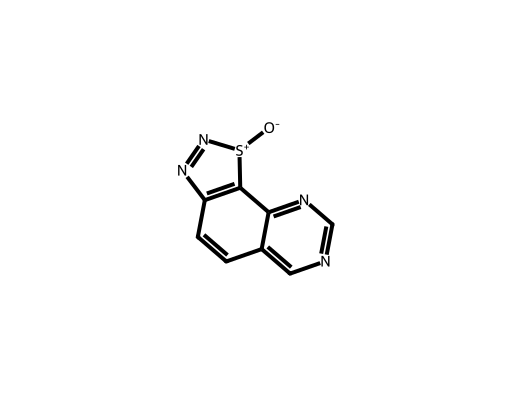 [O-][s+]1nnc2ccc3cncnc3c21